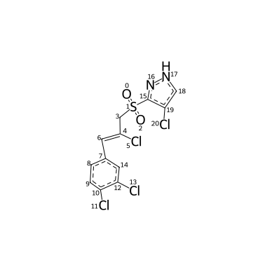 O=S(=O)(CC(Cl)=Cc1ccc(Cl)c(Cl)c1)c1n[nH]cc1Cl